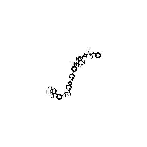 O=C1CC[C@@H](c2cccc(OCC(=O)N3CCC4(CC3)CC(N3CCC(c5ccc(Nc6ncnc7c6ncn7C6CC(NC(=O)Cc7ccccc7)C6)cc5)CC3)C4)c2)C(=O)N1